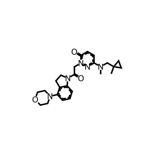 CN(CC1(C)CC1)c1ccc(=O)n(CC(=O)N2CCc3c(N4CCOCC4)cccc32)n1